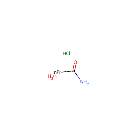 CCCC(N)=O.Cl.O